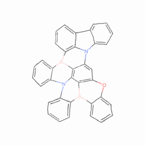 c1ccc2c(c1)Oc1cc3c4c5c1B2c1ccccc1N5c1ccccc1B4c1cccc2c4ccccc4n-3c12